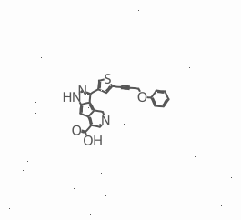 O=C(O)C1=C2C=c3[nH]nc(-c4csc(C#CCOc5ccccc5)c4)c3=C2CN=C1